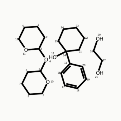 C1CCC(OC2CCCCO2)OC1.OC1(c2ccccc2)CCCCC1.OCCO